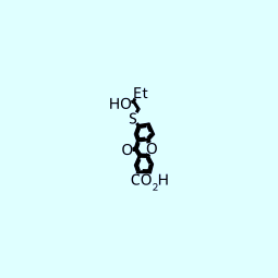 CCC(O)CSc1ccc2oc3ccc(C(=O)O)cc3c(=O)c2c1